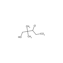 CC(C)(CO)C(Cl)CC(Cl)(Cl)Cl